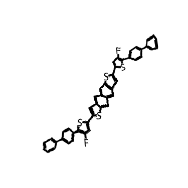 Fc1cc(-c2cc3cc4cc5sc(-c6cc(F)c(-c7ccc(-c8ccccc8)cc7)s6)cc5cc4cc3s2)sc1-c1ccc(-c2ccccc2)cc1